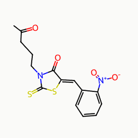 CC(=O)CCCN1C(=O)/C(=C/c2ccccc2[N+](=O)[O-])SC1=S